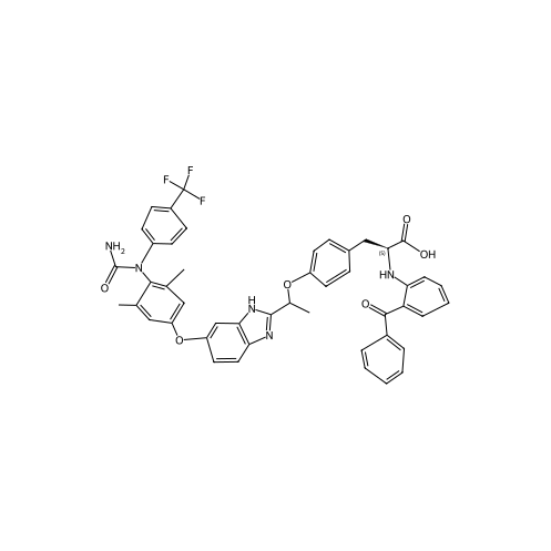 Cc1cc(Oc2ccc3nc(C(C)Oc4ccc(C[C@H](Nc5ccccc5C(=O)c5ccccc5)C(=O)O)cc4)[nH]c3c2)cc(C)c1N(C(N)=O)c1ccc(C(F)(F)F)cc1